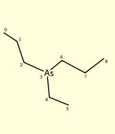 CCC[As](CC)CCC